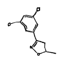 CC1CC(c2cc(Cl)cc(Cl)c2)=NO1